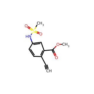 C#Cc1ccc(NS(C)(=O)=O)cc1C(=O)OC